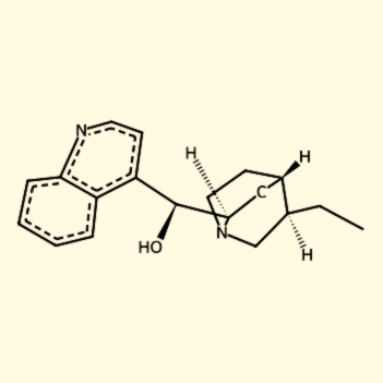 CC[C@H]1CN2CC[C@H]1C[C@@H]2[C@@H](O)c1ccnc2ccccc12